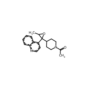 CC(=O)N1CCC(C2(c3ccnc4ccccc34)OC2C)CC1